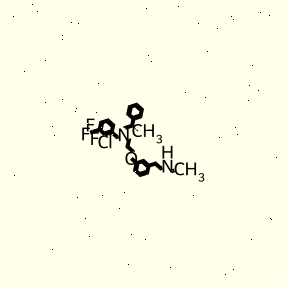 CCNCCc1cccc(OCCCN(Cc2cccc(C(F)(F)F)c2Cl)C[C@@H](C)c2ccccc2)c1